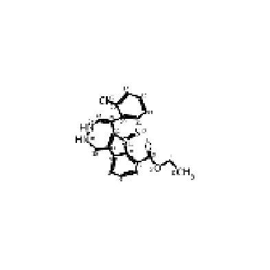 CCOC(=O)c1cccc2c1S(=S)C1=C2CNNC=C1c1ccccc1Cl